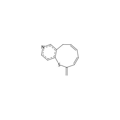 C=C1/C=C\C=C/Cc2cnccc2S1